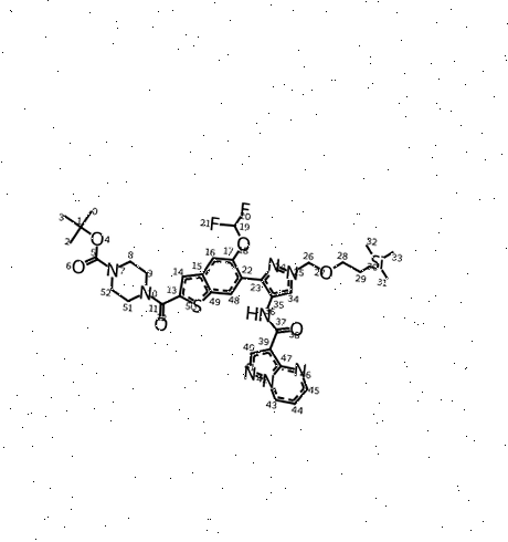 CC(C)(C)OC(=O)N1CCN(C(=O)c2cc3cc(OC(F)F)c(-c4nn(COCC[Si](C)(C)C)cc4NC(=O)c4cnn5cccnc45)cc3s2)CC1